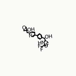 O=C(N[C@H](CF)[C@H](O)c1ccc(-c2ccc(CC3(O)COC3)nc2)cc1)C(F)F